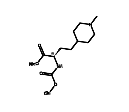 COC(=O)[C@H](CCC1CCN(C)CC1)NC(=O)OC(C)(C)C